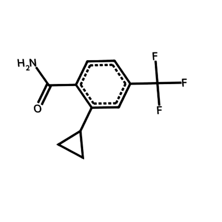 NC(=O)c1ccc(C(F)(F)F)cc1C1CC1